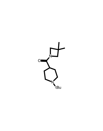 CC1(C)CN(C(=O)C2CCN(C(C)(C)C)CC2)C1